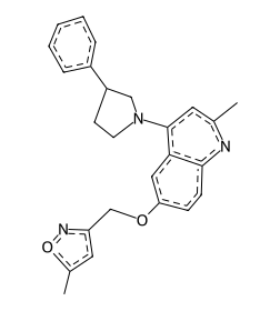 Cc1cc(N2CCC(c3ccccc3)C2)c2cc(OCc3cc(C)on3)ccc2n1